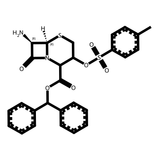 Cc1ccc(S(=O)(=O)OC2CS[C@@H]3[C@H](N)C(=O)N3C2C(=O)OC(c2ccccc2)c2ccccc2)cc1